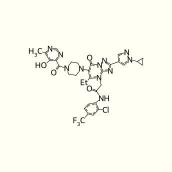 CCc1c(N2CCN(C(=O)c3ncnc(C)c3O)CC2)c(=O)n2nc(-c3cnn(C4CC4)c3)nc2n1CC(=O)Nc1ccc(C(F)(F)F)cc1Cl